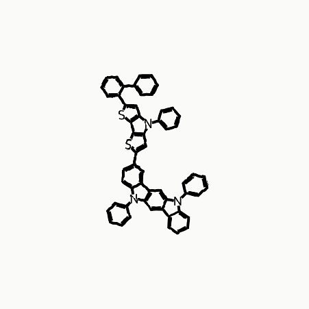 c1ccc(-c2ccccc2-c2cc3c(s2)c2sc(-c4ccc5c(c4)c4cc6c(cc4n5-c4ccccc4)c4ccccc4n6-c4ccccc4)cc2n3-c2ccccc2)cc1